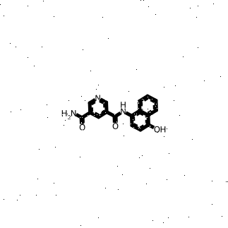 NC(=O)c1cncc(C(=O)Nc2ccc(O)c3ccccc23)c1